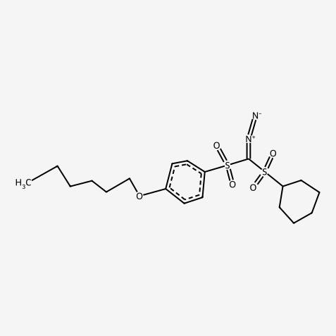 CCCCCCOc1ccc(S(=O)(=O)C(=[N+]=[N-])S(=O)(=O)C2CCCCC2)cc1